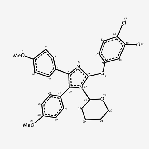 COc1ccc(-c2nc(Sc3ccc(Cl)c(Cl)c3)n(C3CCCCO3)c2-c2ccc(OC)cc2)cc1